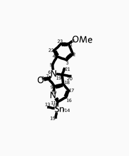 COc1ccc(CN2C(=O)c3n[c]([Sn]([CH3])([CH3])[CH3])ccc3C2(C)C)cc1